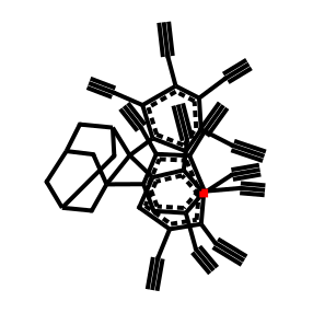 C#Cc1cc(C23CC4CC(CC(C4)C2(c2cc(C#C)c(C#C)c(C#C)c2C#C)c2cc(C#C)c(C#C)c(C#C)c2C#C)C3)c(C#C)c(C#C)c1C#C